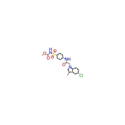 COC(=O)NS(=O)(=O)c1ccc(NC(=O)Cn2cc(C)c3cc(Cl)ccc32)cc1